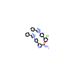 Clc1ccccc1-c1ccc(-n2cc(-c3ccccc3)nn2)cc1.NC(=O)c1cncc(-c2ccc(-n3cc(-c4ccccc4)nn3)cc2)c1